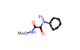 CCN(C(=O)C(=O)NOC)c1ccccc1